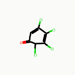 O=C1C=C(Cl)C(Cl)=C(Cl)C1Cl